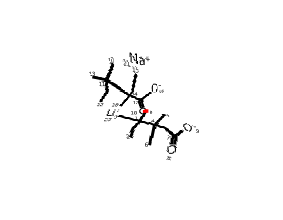 CC(C)(C)C(C)(C)C(=O)[O-].CC(C)(C)C(C)(C)C(=O)[O-].[Li+].[Na+]